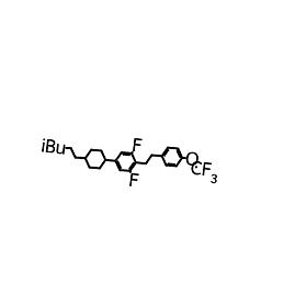 CCC(C)CCC1CCC(c2cc(F)c(CCc3ccc(OC(F)(F)F)cc3)c(F)c2)CC1